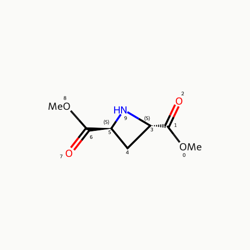 COC(=O)[C@@H]1C[C@@H](C(=O)OC)N1